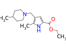 CCOC(=O)c1cc(CN2CCC(C)CC2)c(C)[nH]1